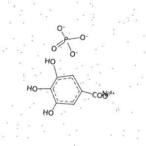 O=C([O-])c1cc(O)c(O)c(O)c1.O=P([O-])([O-])[O-].[Ni+4]